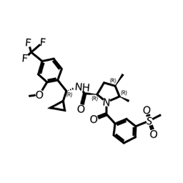 COc1cc(C(F)(F)F)ccc1[C@H](NC(=O)[C@H]1C[C@@H](C)[C@@H](C)N1C(=O)c1cccc(S(C)(=O)=O)c1)C1CC1